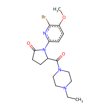 CCN1CCN(C(=O)C2CCC(=O)N2c2ccc(OC)c(Br)n2)CC1